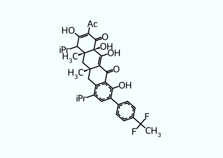 CC(=O)C1=C(O)C(C(C)C)[C@@]2(C)C[C@@]3(C)Cc4c(C(C)C)cc(-c5ccc(C(C)(F)F)cc5)c(O)c4C(=O)C3=C(O)[C@@]2(O)C1=O